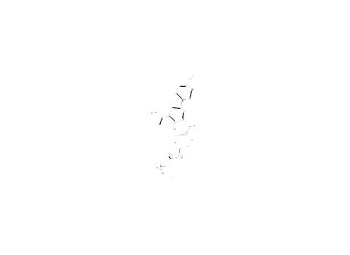 CCN(c1cc(-c2ccc(O)nc2)cc(C(=O)OC)c1C)C1CCC(NC(=O)OC(C)(C)C)CC1